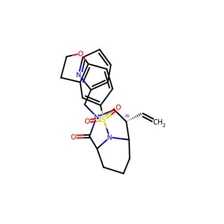 C=C[C@H]1CN(Cc2ccccn2)C(=O)C2CCCC1N2S(=O)(=O)c1ccc2c(c1)CCO2